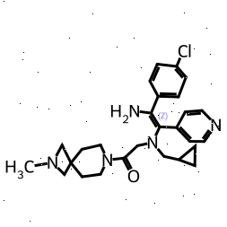 CN1CC2(CCN(C(=O)CN(CC3CC3)/C(=C(\N)c3ccc(Cl)cc3)c3ccncc3)CC2)C1